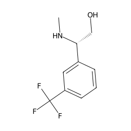 CN[C@H](CO)c1cccc(C(F)(F)F)c1